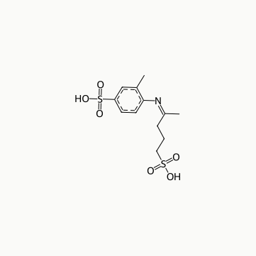 C/C(CCCS(=O)(=O)O)=N/c1ccc(S(=O)(=O)O)cc1C